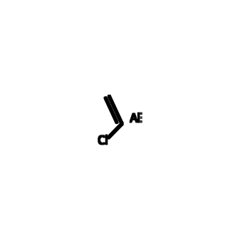 C=CCl.[Al]